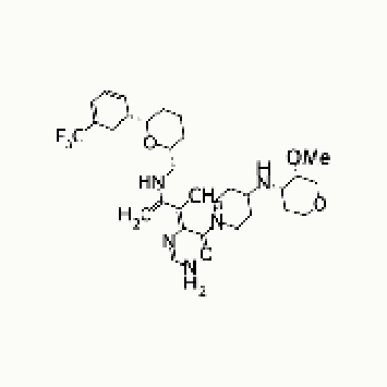 C=C(NC[C@H]1CCC[C@@H](C2C=CC=C(C(F)(F)F)C2)O1)/C(C)=C(\N=C/N)C(=O)N1CCC(N[C@H]2CCOC[C@H]2OC)CC1